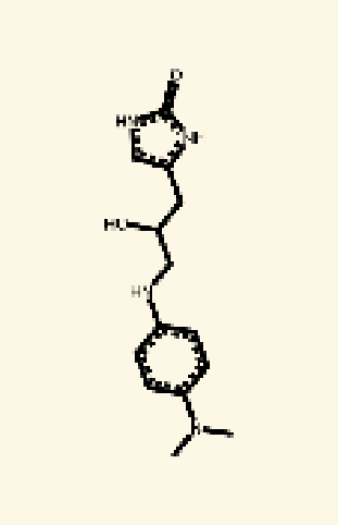 CN(C)c1ccc(NCC(O)Cc2c[nH]c(=O)[nH]2)cc1